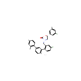 COc1ccc(-c2ccc(C(=O)O)cc2C)cc1-c1ccc(Cl)cc1CN1C(=O)O[C@H](c2cc(Cl)cc(C(F)(F)F)c2)[C@@H]1C